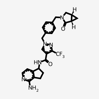 Nc1nccc2c1CCC2NC(=O)c1cn(Cc2ccc(CN3C[C@@H]4C[C@@H]4C3=O)cc2)nc1C(F)(F)F